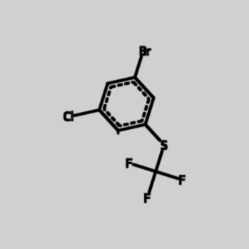 FC(F)(F)Sc1[c]c(Cl)cc(Br)c1